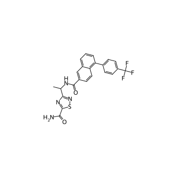 CC(NC(=O)c1ccc2c(-c3ccc(C(F)(F)F)cc3)cccc2c1)c1nsc(C(N)=O)n1